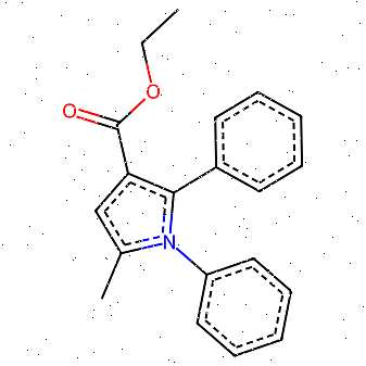 CCOC(=O)c1cc(C)n(-c2ccccc2)c1-c1ccccc1